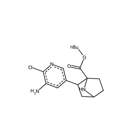 CCCCOC(=O)C12CCC(CC1c1cnc(Cl)c(N)c1)N2